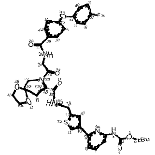 CC(C)(C)OC(=O)Nc1cccc(-c2csc(CNC(=O)[C@@H]3CC4(CN3C(=O)CNC(=O)c3ccc(Oc5ccc(F)cc5)cc3)OCCO4)c2)n1